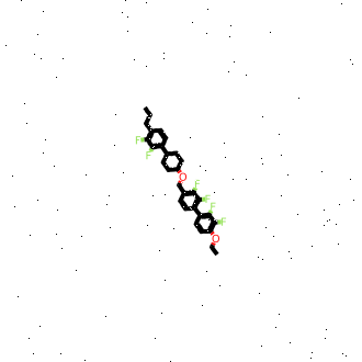 CCCc1ccc(C2CCC(OCc3ccc(-c4ccc(OCC)c(F)c4F)c(F)c3F)CC2)c(F)c1F